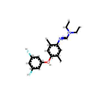 CCN(/C=N/c1cc(C)c(Oc2cc(F)cc(F)c2)cc1C)CC